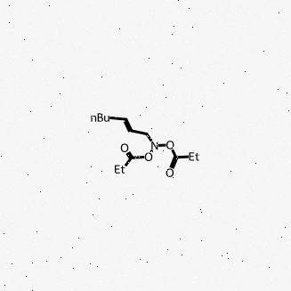 CCCCC=CCN(OC(=O)CC)OC(=O)CC